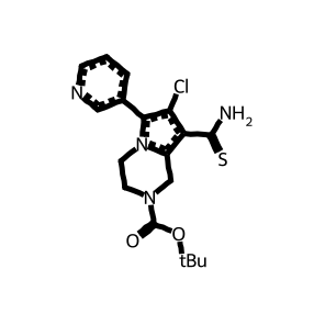 CC(C)(C)OC(=O)N1CCn2c(c(C(N)=S)c(Cl)c2-c2cccnc2)C1